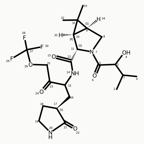 CC(C)C(O)C(=O)N1C[C@H]2[C@@H]([C@H]1C(=O)NC(C[C@@H]1CCNC1=O)C(=O)COC(F)(F)F)C2(C)C